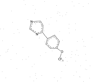 FC(F)(F)Oc1ccc(-c2ccncn2)cc1